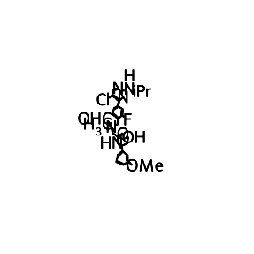 COc1cccc(C(CO)NC(=O)CN(C)Cc2c(F)cc(-c3nc(NC(C)C)ncc3Cl)cc2C=O)c1